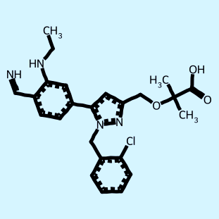 CCNc1cc(-c2cc(COC(C)(C)C(=O)O)nn2Cc2ccccc2Cl)ccc1C=N